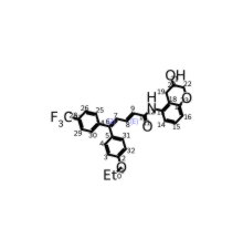 CCOc1ccc(/C(=C\C=C\C(=O)Nc2cccc3c2CC(O)CO3)c2ccc(C(F)(F)F)cc2)cc1